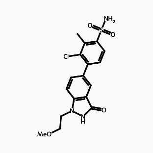 COCCn1[nH]c(=O)c2cc(-c3ccc(S(N)(=O)=O)c(C)c3Cl)ccc21